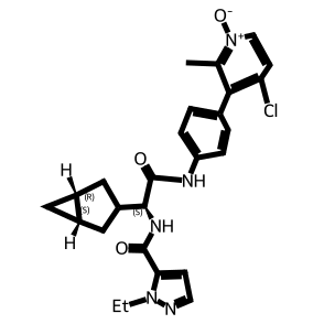 CCn1nccc1C(=O)N[C@H](C(=O)Nc1ccc(-c2c(Cl)cc[n+]([O-])c2C)cc1)C1C[C@@H]2C[C@@H]2C1